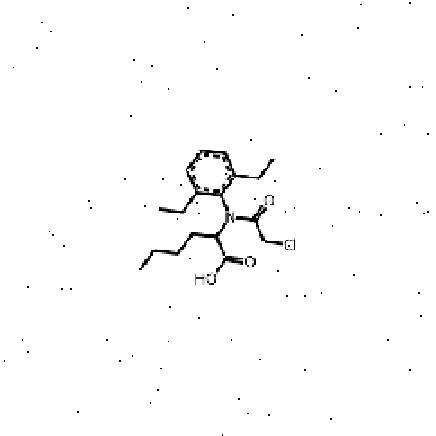 CCCCC(C(=O)O)N(C(=O)CCl)c1c(CC)cccc1CC